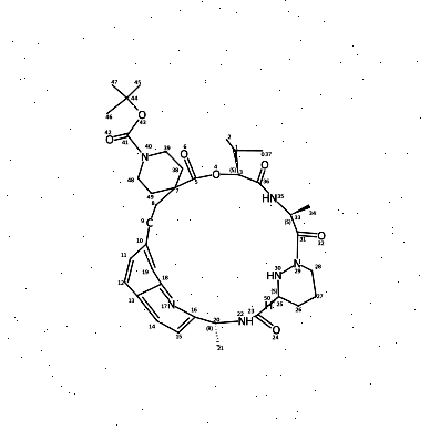 CC(C)[C@@H]1OC(=O)C2(CCc3ccc4ccc(nc4c3)[C@@H](C)NC(=O)[C@@H]3CCCN(N3)C(=O)[C@H](C)NC1=O)CCN(C(=O)OC(C)(C)C)CC2